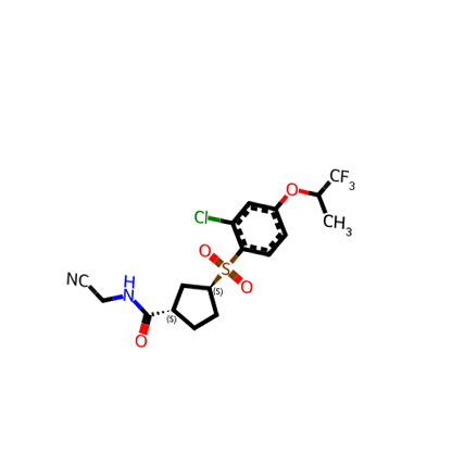 CC(Oc1ccc(S(=O)(=O)[C@H]2CC[C@H](C(=O)NCC#N)C2)c(Cl)c1)C(F)(F)F